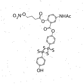 CC(=O)Nc1ccc(OC(=O)CCCO[N+](=O)[O-])c(C(=O)Oc2ccc(P3(=S)SP(=S)(c4ccc(O)cc4)S3)cc2)c1